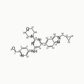 O=Cc1ccc(Nc2cc(-c3ccc4nn(CC5CC5)cc4c3)nc(N3CCOCC3)n2)cn1